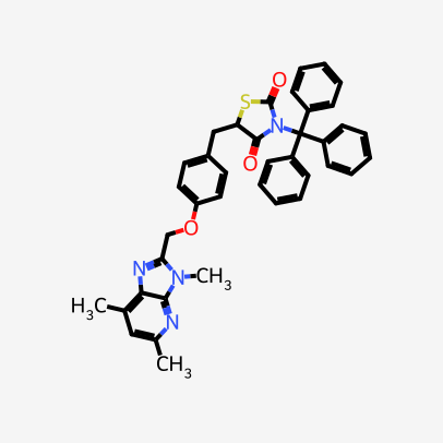 Cc1cc(C)c2nc(COc3ccc(CC4SC(=O)N(C(c5ccccc5)(c5ccccc5)c5ccccc5)C4=O)cc3)n(C)c2n1